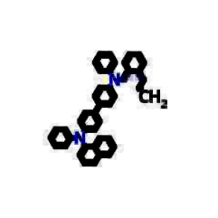 C=C/C=c1/cccc/c1=C\N(c1ccccc1)c1ccc(-c2ccc(N(c3ccccc3)c3cccc4ccccc34)cc2)cc1